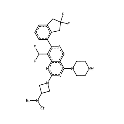 CCN(CC)C1CN(c2nc(N3CCNCC3)c3cnc(-c4cccc5c4CC(F)(F)C5)c(C(F)F)c3n2)C1